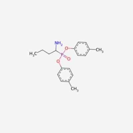 CCCC(N)P(=O)(Oc1ccc(C)cc1)Oc1ccc(C)cc1